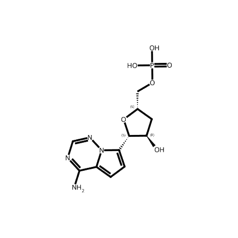 Nc1ncnn2c([C@@H]3O[C@H](COP(=O)(O)O)C[C@H]3O)ccc12